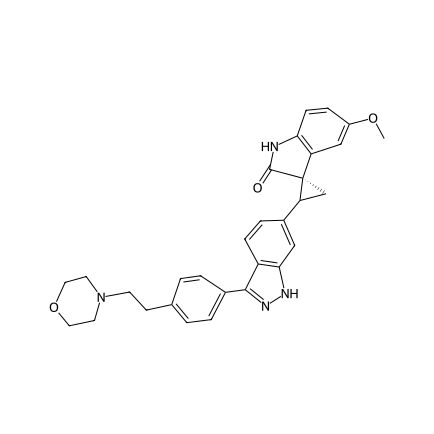 COc1ccc2c(c1)[C@]1(CC1c1ccc3c(-c4ccc(CCN5CCOCC5)cc4)n[nH]c3c1)C(=O)N2